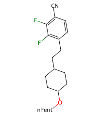 CCCCCOC1CCC(CCc2ccc(C#N)c(F)c2F)CC1